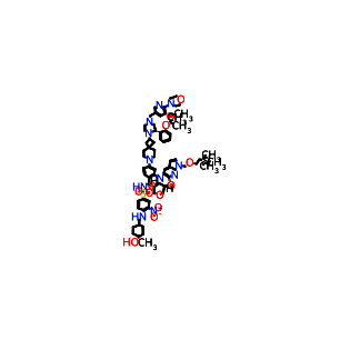 COc1cc(CN2CCN(C3CC4(CCN(c5ccc(C(=O)NS(=O)(=O)c6ccc(NCC7CCC(C)(O)CC7)c([N+](=O)[O-])c6)c(N6c7cc8ccn(COCC[Si](C)(C)C)c8nc7O[C@H]7COCC[C@@H]76)c5)CC4)C3)[C@@H](c3ccccc3OC(C)C)C2)cnc1N1CCOCC1